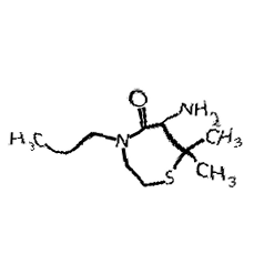 CCCN1CCSC(C)(C)C(N)C1=O